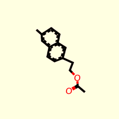 CC(=O)OCCc1ccc2cc(C)ccc2c1